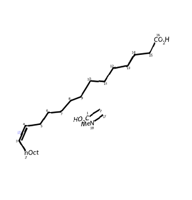 CC(=O)O.CCCCCCCC/C=C\CCCCCCCCCCCC(=O)O.CNC